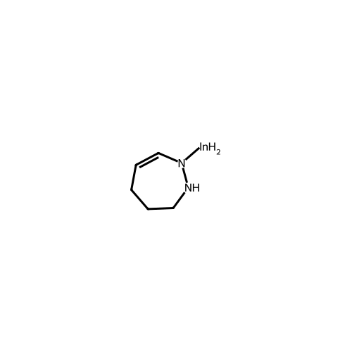 [InH2][N]1C=CCCCN1